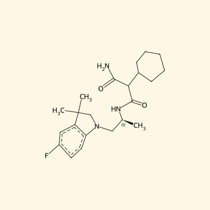 C[C@@H](CN1CC(C)(C)c2cc(F)ccc21)NC(=O)C(C(N)=O)C1CCCCC1